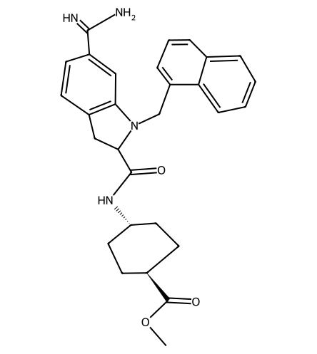 COC(=O)[C@H]1CC[C@H](NC(=O)C2Cc3ccc(C(=N)N)cc3N2Cc2cccc3ccccc23)CC1